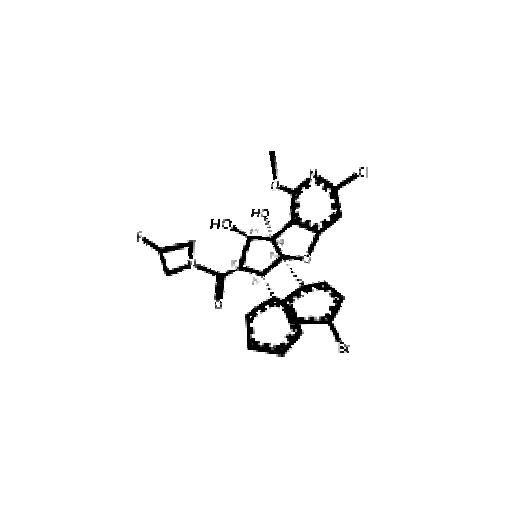 COc1nc(Cl)cc2c1[C@]1(O)[C@H](O)[C@H](C(=O)N3CC(F)C3)[C@@H](c3ccccc3)[C@]1(c1ccc(Br)cc1)O2